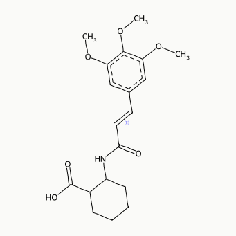 COc1cc(/C=C/C(=O)NC2CCCCC2C(=O)O)cc(OC)c1OC